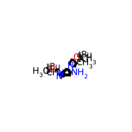 CC(C)(C)[Si](C)(C)OCCn1ncc2cc(N)c(N3CCC(O[Si](C)(C)C(C)(C)C)CC3)cc21